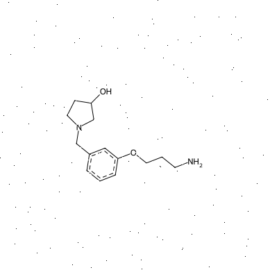 NCCCOc1cccc(CN2CCC(O)C2)c1